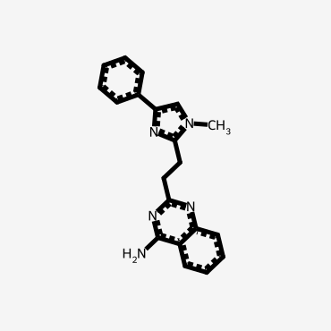 Cn1cc(-c2ccccc2)nc1CCc1nc(N)c2ccccc2n1